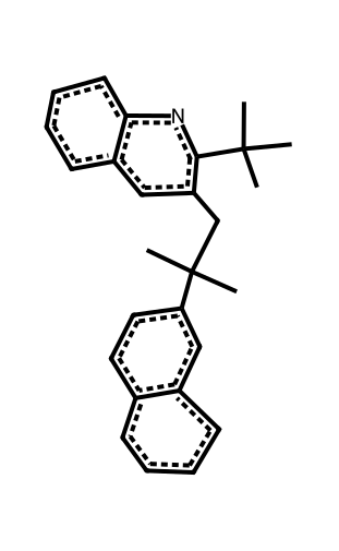 CC(C)(C)c1nc2ccccc2cc1CC(C)(C)c1ccc2ccccc2c1